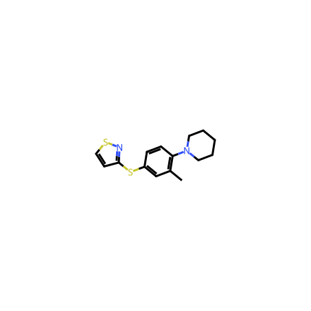 Cc1cc(Sc2ccsn2)ccc1N1CCCCC1